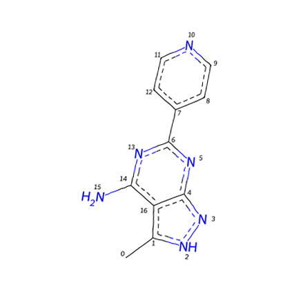 Cc1[nH]nc2nc(-c3ccncc3)nc(N)c12